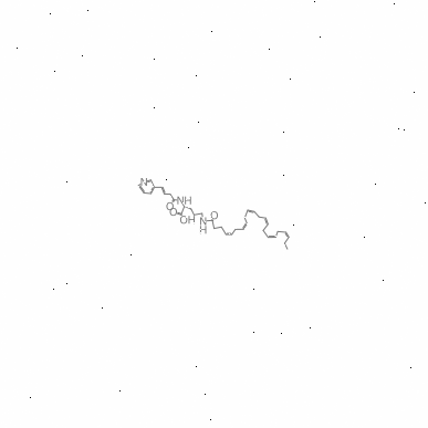 CC/C=C\C/C=C\C/C=C\C/C=C\C/C=C\C/C=C\CCC(=O)NCCC[C@H](NC(=O)C/C=C/c1cccnc1)C(=O)O